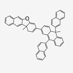 CC12CC=C(C3=CC4=C(c5ccc6ccccc6c5)c5ccccc5C(C)(c5ccc6ccccc6c5)C4C=C3)C=C1Oc1cc3ccccc3cc12